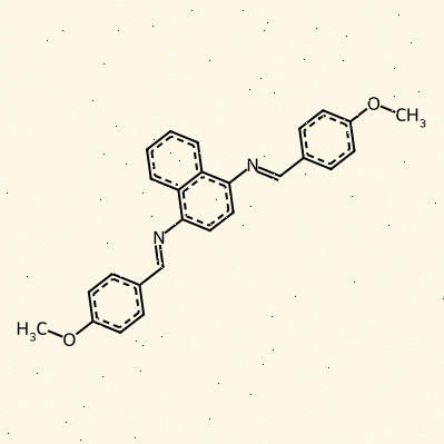 COc1ccc(C=Nc2ccc(N=Cc3ccc(OC)cc3)c3ccccc23)cc1